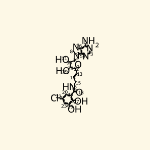 Nc1ncnc2c1ncn2C1OC(/C=C/CNC(=O)c2cc(Cl)cc(O)c2O)C(O)C1O